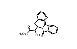 COC(=O)C(O)C(Cc1ccccc1)N1C(=O)c2ccccc2C1=O